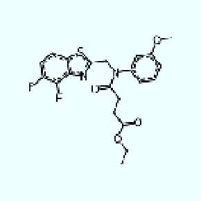 CCOC(=O)CCC(=O)N(Cc1nc2c(F)c(F)ccc2s1)c1cccc(OC)c1